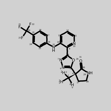 [2H]C([2H])([2H])[C@]1(c2nnc(-c3ncccc3Nc3ccc(C(F)(F)F)cc3)o2)CCNC1=O